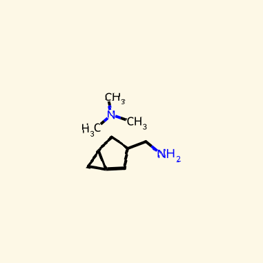 CN(C)C.NCC1CC2CC2C1